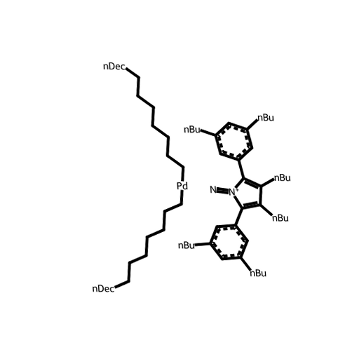 CCCCC1=C(c2cc(CCCC)cc(CCCC)c2)[N+](=[N-])C(c2cc(CCCC)cc(CCCC)c2)=C1CCCC.CCCCCCCCCCCCCCCC[CH2][Pd][CH2]CCCCCCCCCCCCCCCC